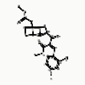 COC(=O)CC12C3C4C1C1C2C3C41C(=O)C(=Cc1ccc(F)cc1Cl)C(=O)OC